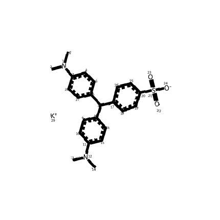 CN(C)c1ccc(C(c2ccc(N(C)C)cc2)c2ccc(S(=O)(=O)[O-])cc2)cc1.[K+]